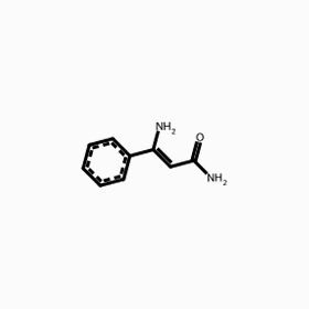 NC(=O)C=C(N)c1ccccc1